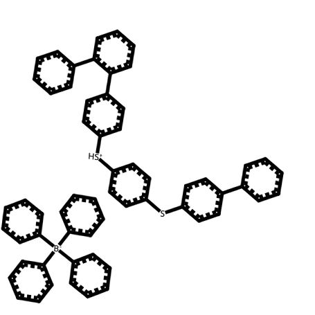 c1ccc(-c2ccc(Sc3ccc([SH+]c4ccc(-c5ccccc5-c5ccccc5)cc4)cc3)cc2)cc1.c1ccc([B-](c2ccccc2)(c2ccccc2)c2ccccc2)cc1